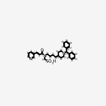 O=C(C=Cc1cccnc1)N(CCCCC1CCN(C(c2ccccc2)c2ccccc2)CC1)CS(=O)(=O)O